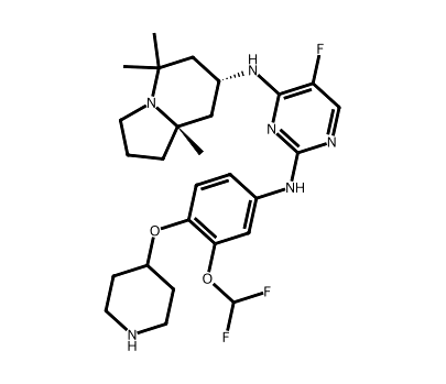 CC1(C)C[C@H](Nc2nc(Nc3ccc(OC4CCNCC4)c(OC(F)F)c3)ncc2F)C[C@]2(C)CCCN12